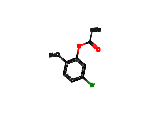 COC(=O)Oc1cc(Br)ccc1OC